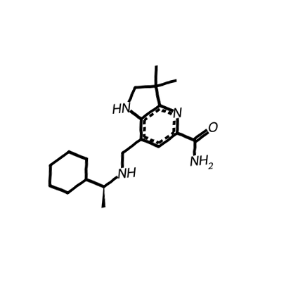 C[C@H](NCc1cc(C(N)=O)nc2c1NCC2(C)C)C1CCCCC1